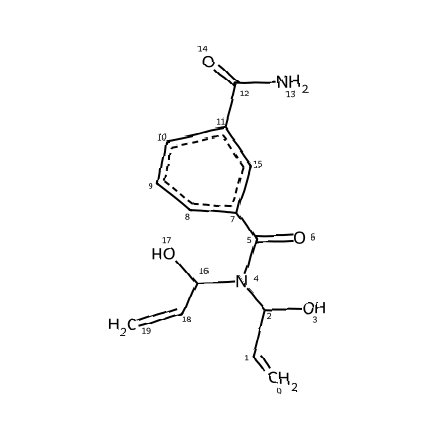 C=CC(O)N(C(=O)c1cccc(C(N)=O)c1)C(O)C=C